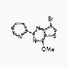 COc1nc(-c2ccccn2)nc2c(Br)csc12